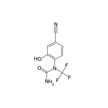 N#Cc1ccc(N(C(N)=O)C(F)(F)F)c(O)c1